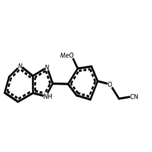 COc1cc(OCC#N)ccc1-c1nc2ncccc2[nH]1